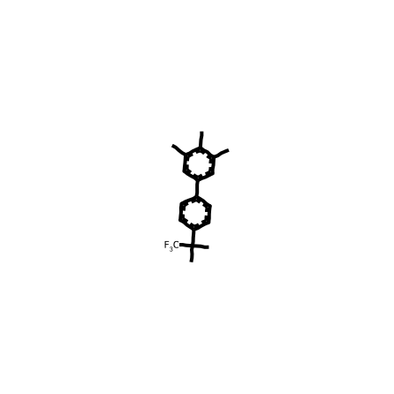 Cc1cc(-c2ccc(C(C)(C)C(F)(F)F)cc2)cc(C)c1C